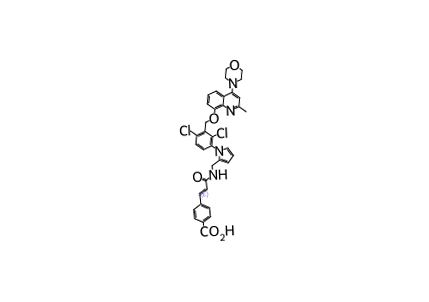 Cc1cc(N2CCOCC2)c2cccc(OCc3c(Cl)ccc(-n4cccc4CNC(=O)/C=C/c4ccc(C(=O)O)cc4)c3Cl)c2n1